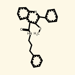 CSc1c(-c2ccccc2)nc2ccccc2c1C(=O)NCCCc1ccccc1